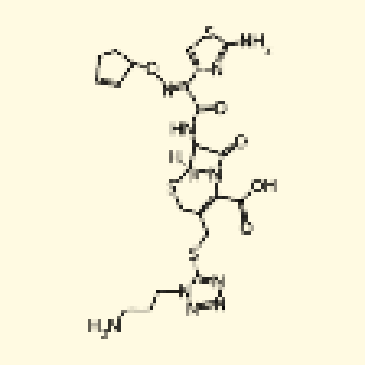 NCCCn1nnnc1SCC1=C(C(=O)O)N2C(=O)C(NC(=O)C(=NOC3C=CCC3)c3csc(N)n3)[C@@H]2SC1